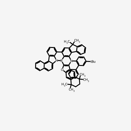 CC(C)(C)c1ccc(N2c3c4c(cc5c3-c3ccccc3C5(C)C)-c3cccc5c6c7ccccc7ccc6n(c35)B4c3oc4cc5c(cc4c32)C(C)(C)CCC5(C)C)c(-c2ccccc2)c1